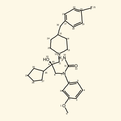 COc1cccc(N(C[C@@](O)(CN2CCC(Cc3ccc(F)cc3)CC2)C2CCCC2)C(N)=O)c1